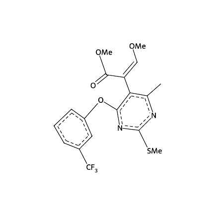 COC=C(C(=O)OC)c1c(C)nc(SC)nc1Oc1cccc(C(F)(F)F)c1